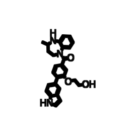 CC1CCN(C(=O)c2ccc(-c3ccc4[nH]ccc4c3)c(OCCO)c2)c2ccccc2N1